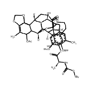 COc1cc2c(cc1OC(=O)[C@H](C)NC(=O)OC(C)(C)C)CCN[C@]21CS[C@@H]2C3C(OC(C)=O)C(C)=C4OCOC4C3[C@H](COC1=O)N1C2[C@@H]2c3c(cc(C)c(OC)c3O)C[C@H]([C@@H]1O)N2C